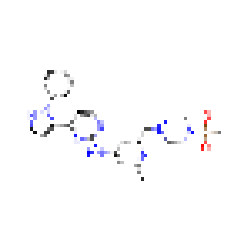 Cc1cc(Nc2nccc(-c3ccnn3-c3ccccc3)n2)cc(CN2CCN(S(C)(=O)=O)CC2)n1